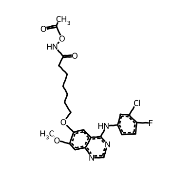 COc1cc2ncnc(Nc3ccc(F)c(Cl)c3)c2cc1OCCCCCCC(=O)NOC(C)=O